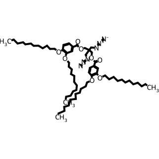 CCCCCCCCCCCCOc1ccc(C(=O)OCC(CN=[N+]=[N-])(CN=[N+]=[N-])COC(=O)c2ccc(OCCCCCCCCCCCC)c(OCCCCCCCCCCCC)c2)cc1OCCCCCCCCCCCC